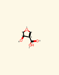 O=C(O)C1=COCC1=O